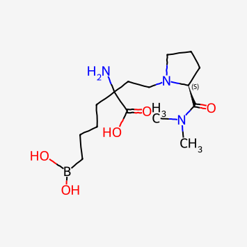 CN(C)C(=O)[C@@H]1CCCN1CCC(N)(CCCCB(O)O)C(=O)O